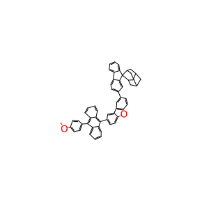 COc1ccc(-c2c3ccccc3c(-c3ccc4oc5ccc(-c6ccc7c(c6)C6(c8ccccc8-7)C7CC8CC(C7)CC6C8)cc5c4c3)c3ccccc23)cc1